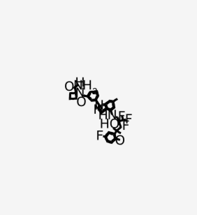 COc1ccc(F)cc1C(C)(C)CC(O)(CNc1cc(C)cc2c1cnn2-c1cccc(C(=O)NC2(C(N)=O)CCC2)c1)C(F)(F)F